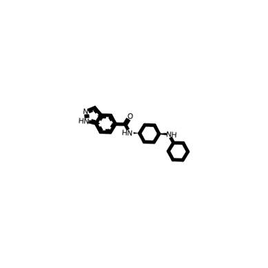 O=C(N[C@H]1CC[C@H](NC2CCCCC2)CC1)c1ccc2[nH]ncc2c1